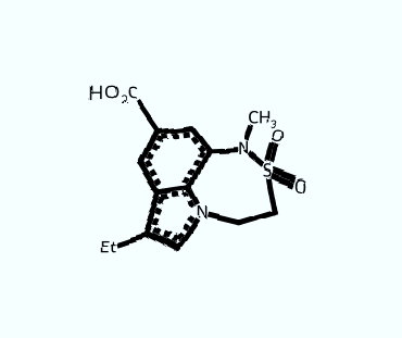 CCc1cn2c3c(cc(C(=O)O)cc13)N(C)S(=O)(=O)CC2